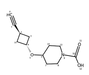 C#C[C@H]1C[C@H](OC2CCN(C(=O)O)CC2)C1